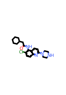 O=C(CC1CCCCC1)Nc1c(Cl)ccc2nc(N3CCNCC3)ccc12